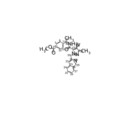 COC(=O)c1ccc([C@H](C)NC(=O)c2c(Br)c(C)nn2Cc2cc3ccccc3cn2)cc1